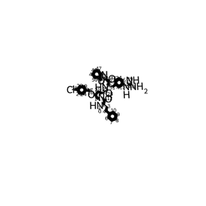 CN[C@H](CCc1ccccc1)C(=O)N1C[C@H](OCc2ccc(Cl)cc2)C[C@H]1C(=O)N[C@@H](Cc1cccc(NC(=N)N)c1)C(=O)c1nc2ccccc2o1